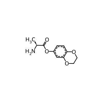 C[C@H](N)C(=O)Oc1ccc2c(c1)OCCO2